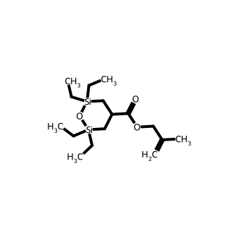 C=C(C)COC(=O)C1C[Si](CC)(CC)O[Si](CC)(CC)C1